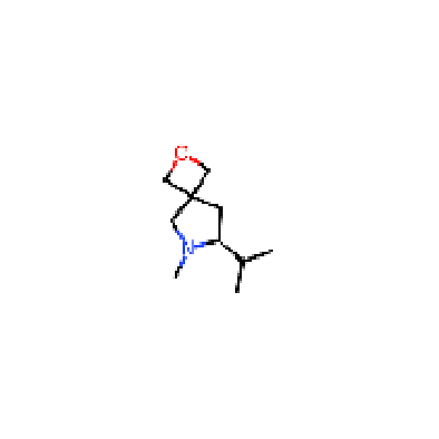 CC(C)[C@@H]1CC2(COC2)CN1C